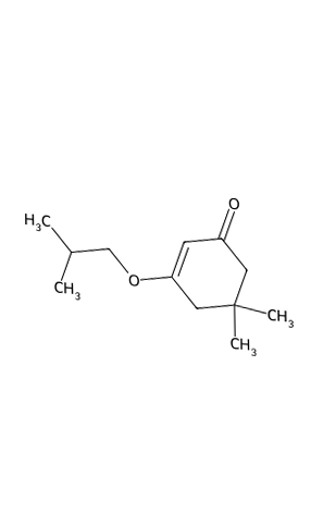 CC(C)COC1=CC(=O)CC(C)(C)C1